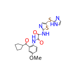 COc1ccc(NC(=O)C(=O)Nc2ncc(Sc3ncc[nH]3)s2)c(C(=O)C2CCCC2)c1